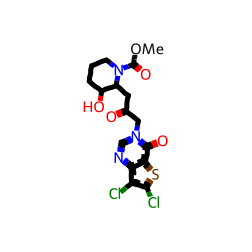 COC(=O)N1CCCC(O)C1CC(=O)Cn1cnc2c(Cl)c(Cl)sc2c1=O